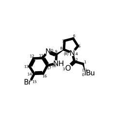 CC[C@H](C)CC(=O)N1CCC[C@@H]1c1nc2ccc(Br)cc2[nH]1